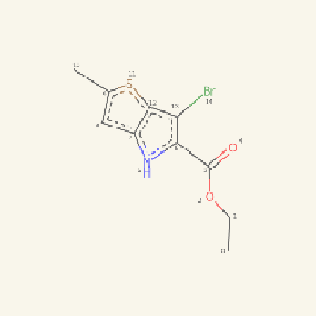 CCOC(=O)c1[nH]c2cc(C)sc2c1Br